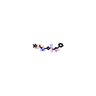 CC(O[Si](C)(C)C(C)(C)C)c1nnc(C2CC(NC(=O)c3cc(-c4ccccc4)on3)C2)s1